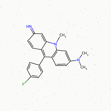 CN(C)c1ccc2c(-c3ccc(F)cc3)c3ccc(=N)cc-3n(C)c2c1